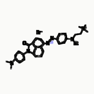 CCN(CC[N+](C)(C)C)c1ccc(/N=N/c2ccc3c4c(cccc24)N(c2ccc(N(C)C)cc2)C3=O)cc1.[Br-]